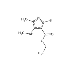 CCOC(=O)c1c(Br)nn(C)c1NC